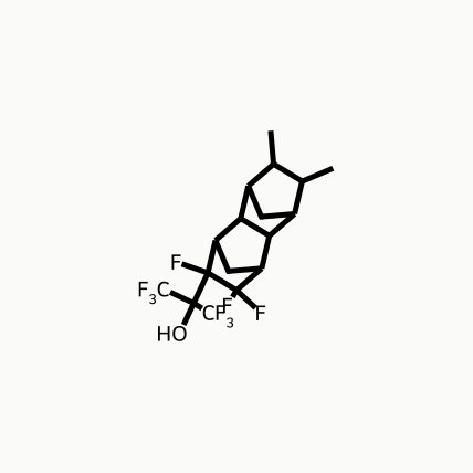 CC1C(C)C2CC1C1C2C2CC1C(F)(F)C2(F)C(O)(C(F)(F)F)C(F)(F)F